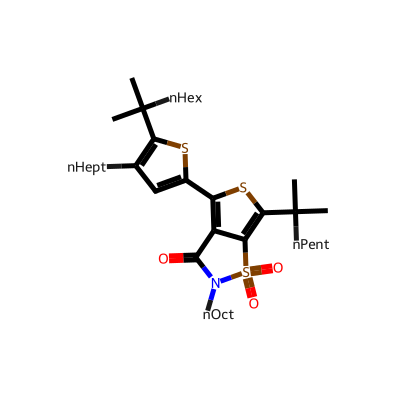 CCCCCCCCN1C(=O)c2c(-c3cc(CCCCCCC)c(C(C)(C)CCCCCC)s3)sc(C(C)(C)CCCCC)c2S1(=O)=O